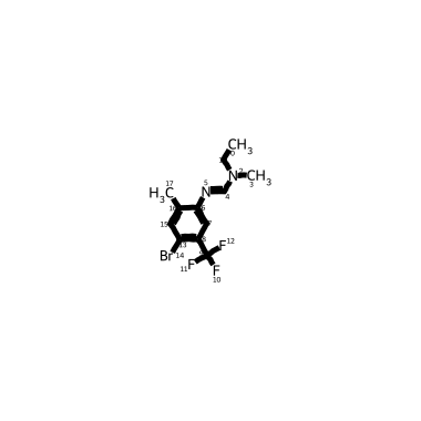 CCN(C)/C=N/c1cc(C(F)(F)F)c(Br)cc1C